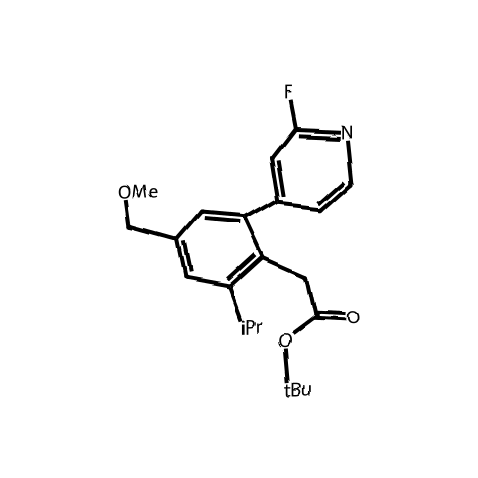 COCc1cc(-c2ccnc(F)c2)c(CC(=O)OC(C)(C)C)c(C(C)C)c1